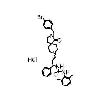 Cc1cccc(C)c1NC(=O)NC(CCN1CCC2(CC1)CCN(Cc1ccc(Br)cc1)C2=O)c1ccccc1.Cl